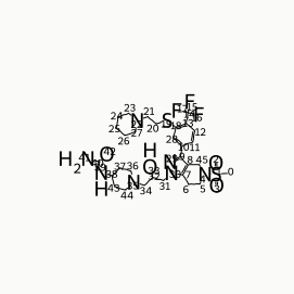 CS(=O)(=O)N1CCc2c(c(-c3ccc(C(F)(F)F)c(SCCN4CCCCC4)c3)nn2CC(O)CN2CCC(NC(N)=O)CC2)C1